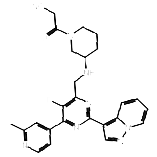 Cc1cc(-c2nc(-c3cnn4ccccc34)nc(CN[C@@H]3CCCN(C(=O)CC#N)C3)c2F)ccn1